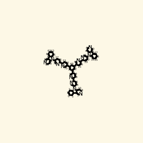 c1ccc2c(c1)c1cnccc1n2-c1ccc(-c2ccc(-c3cc(-c4ccc(-c5ccc(-n6c7ccccc7c7cnccc76)cn5)nc4)cc(-c4ccc(-c5ccc(-n6c7ccccc7c7cnccc76)cn5)nc4)c3)cn2)nc1